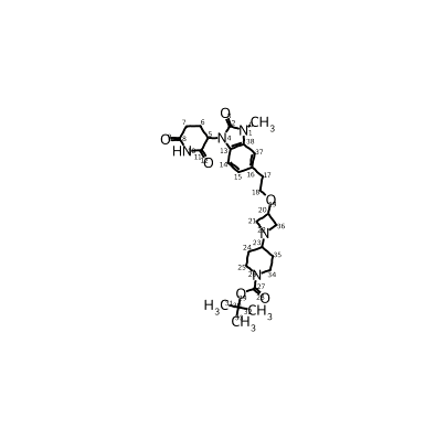 Cn1c(=O)n(C2CCC(=O)NC2=O)c2ccc(CCOC3CN(C4CCN(C(=O)OC(C)(C)C)CC4)C3)cc21